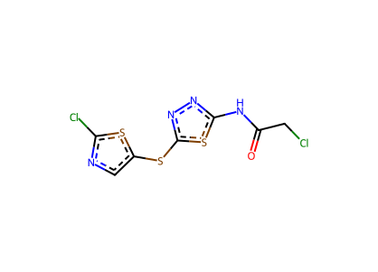 O=C(CCl)Nc1nnc(Sc2cnc(Cl)s2)s1